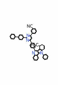 CC1CC=Cc2c1c1c(-c3ccc(-c4cc(-c5cccc(C#N)c5)nc(-c5ccc(-c6ccccc6)cc5)n4)cc3)nc3ccccc3c1n2-c1ccccc1